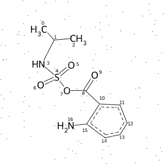 CC(C)NS(=O)(=O)OC(=O)c1ccccc1N